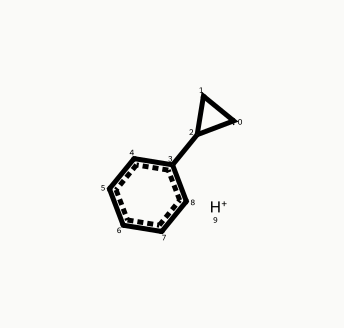 [CH]1CC1c1ccccc1.[H+]